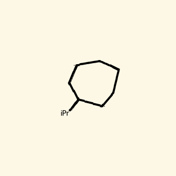 CC(C)C1[CH]CCC[CH]C1